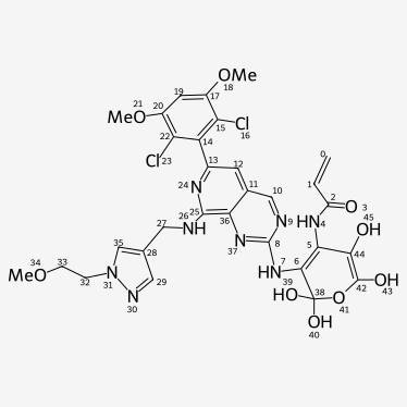 C=CC(=O)NC1=C(Nc2ncc3cc(-c4c(Cl)c(OC)cc(OC)c4Cl)nc(NCc4cnn(CCOC)c4)c3n2)C(O)(O)OC(O)=C1O